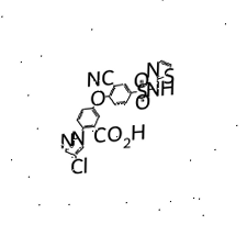 N#Cc1cc(S(=O)(=O)Nc2nccs2)ccc1Oc1ccc(-n2cc(Cl)cn2)c(C(=O)O)c1